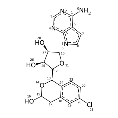 Nc1ncnc2c1ccn2[C@@H]1OC([C@@H]2OC(O)Cc3cc(Cl)ccc32)[C@@H](O)[C@H]1O